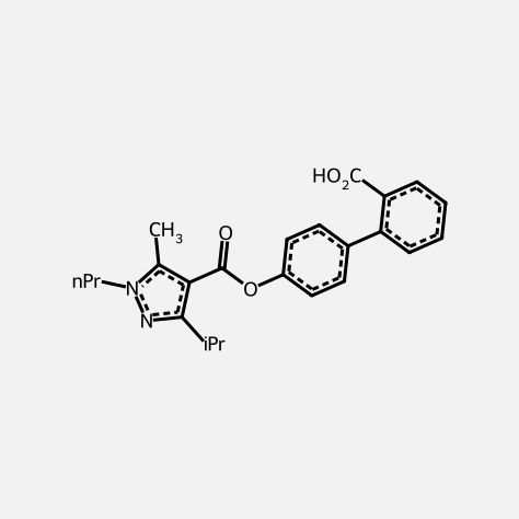 CCCn1nc(C(C)C)c(C(=O)Oc2ccc(-c3ccccc3C(=O)O)cc2)c1C